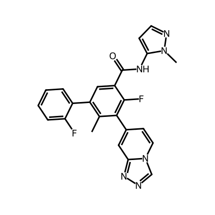 Cc1c(-c2ccccc2F)cc(C(=O)Nc2ccnn2C)c(F)c1-c1ccn2cnnc2c1